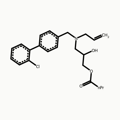 C=CCN(Cc1ccc(-c2ccccc2Cl)cc1)CC(O)COC(=O)CCC